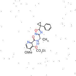 CCOC(=O)Oc1c(OC)ccnc1C(=O)N[C@@H](C)c1noc(C2(c3ccccc3)CC2)n1